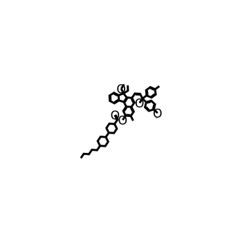 CCCCCC1CCC(C2CCC(C(=O)Oc3cc4c5c(c6c(c4cc3C)OC(c3ccc(C)cc3)(c3ccc(OC)cc3)C=C6)C(CC)(OC)c3ccccc3-5)CC2)CC1